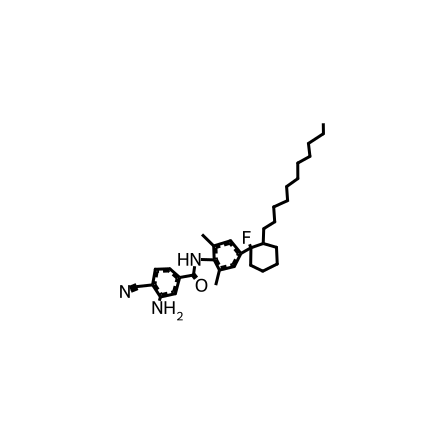 CCCCCCCCCCCC1CCCCC1(F)c1cc(C)c(NC(=O)c2ccc(C#N)c(N)c2)c(C)c1